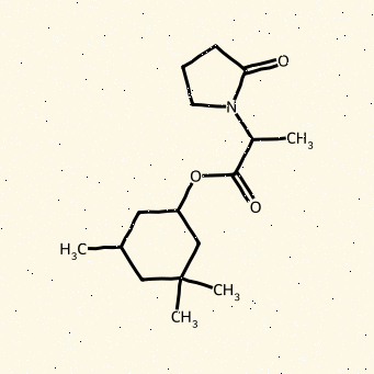 CC1CC(OC(=O)C(C)N2CCCC2=O)CC(C)(C)C1